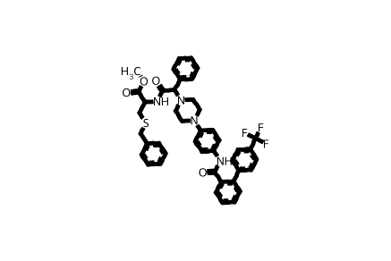 COC(=O)C(CSCc1ccccc1)NC(=O)C(c1ccccc1)N1CCN(c2ccc(NC(=O)c3ccccc3-c3ccc(C(F)(F)F)cc3)cc2)CC1